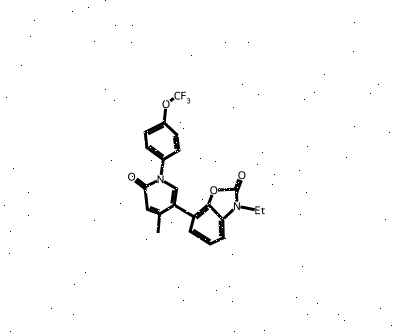 CCn1c(=O)oc2c(-c3cn(-c4ccc(OC(F)(F)F)cc4)c(=O)cc3C)cccc21